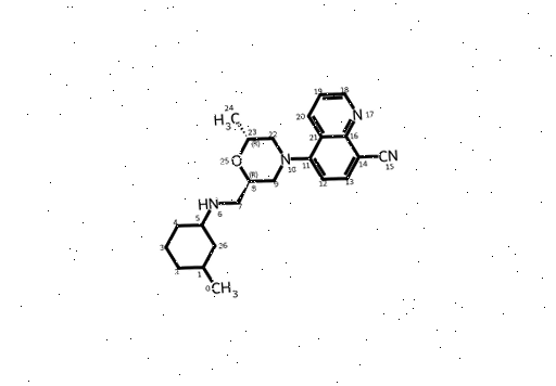 CC1CCCC(NC[C@@H]2CN(c3ccc(C#N)c4ncccc34)C[C@@H](C)O2)C1